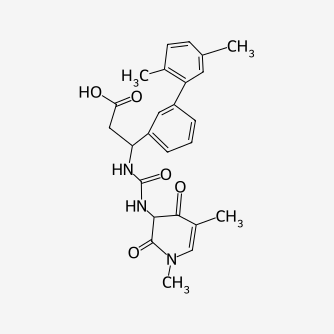 CC1=CN(C)C(=O)C(NC(=O)NC(CC(=O)O)c2cccc(-c3cc(C)ccc3C)c2)C1=O